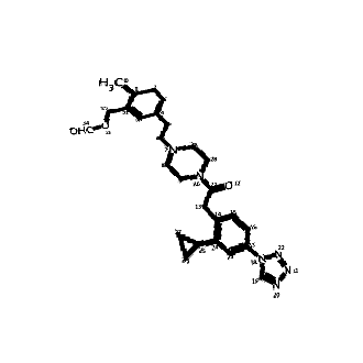 CC1CC=C(CCN2CCN(C(=O)Cc3ccc(-n4cnnn4)cc3C3CC3)CC2)C=C1COC=O